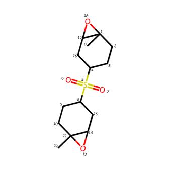 CC12CCC(S(=O)(=O)C3CCC4(C)OC4C3)CC1O2